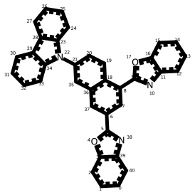 c1ccc2oc(-c3cc(-c4nc5ccccc5o4)c4ccc(-n5c6ccccc6c6ccccc65)cc4c3)nc2c1